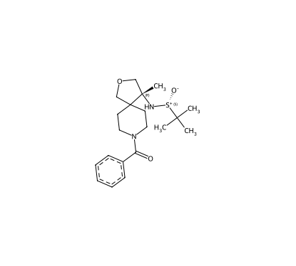 CC(C)(C)[S@@+]([O-])N[C@@]1(C)COCC12CCN(C(=O)c1ccccc1)CC2